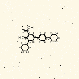 O=C(O)c1cc(-c2ccc(C3CCCCC3)cc2)cc(C2CCCCC2)c1O